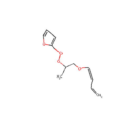 C=C/C=C\OCC(C)OOc1ccco1